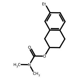 CCc1ccc2c(c1)CC(OC(=O)N(C)C)CC2